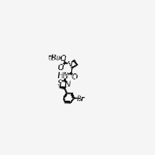 CC(C)(C)OC(=O)N1CC[C@H]1C(=O)Nc1nc(-c2cccc(Br)c2)cs1